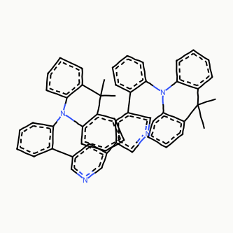 CC1(C)c2ccccc2N(c2ccccc2-c2cncc(-c3cncc(-c4ccccc4N4c5ccccc5C(C)(C)c5ccccc54)c3)c2)c2ccccc21